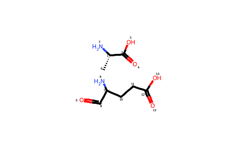 C[C@H](N)C(=O)O.NC([C]=O)CCC(=O)O